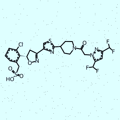 O=C(Cn1nc(C(F)F)cc1C(F)F)N1CCC(c2nc(C3=NO[C@H](c4c(Cl)cccc4CS(=O)(=O)O)C3)cs2)CC1